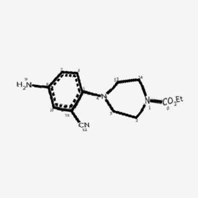 CCOC(=O)N1CCN(c2ccc(N)cc2C#N)CC1